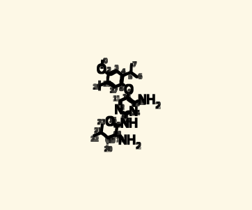 COc1cc(C(C)C)c(Oc2cnc(NC(=O)[C@H](N)[C@H](C)C(C)C)nc2N)cc1I